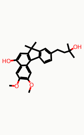 COc1cc2c(O)cc3c(c2cc1OC)-c1ccc(CCC(C)(C)O)cc1C3(C)C